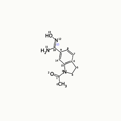 CC(=O)N1CCc2ccc(/C(N)=N/O)cc21